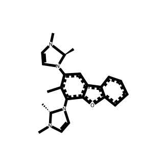 Cc1c(N2C=CN(C)[C@H]2C)cc2c(oc3ccccc32)c1N1C=CN(C)[C@@H]1C